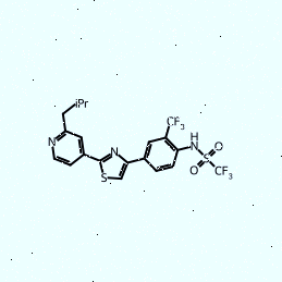 CC(C)Cc1cc(-c2nc(-c3ccc(NS(=O)(=O)C(F)(F)F)c(C(F)(F)F)c3)cs2)ccn1